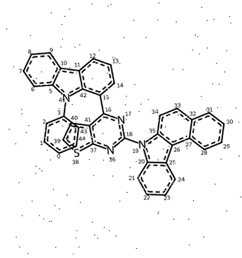 c1ccc(-n2c3ccccc3c3cccc(-c4nc(-n5c6ccccc6c6c7ccccc7ccc65)nc5sccc45)c32)cc1